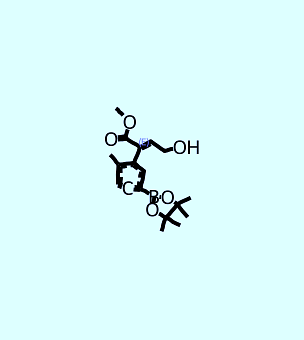 COC(=O)/C(=C/CO)c1cc(B2OC(C)(C)C(C)(C)O2)ccc1C